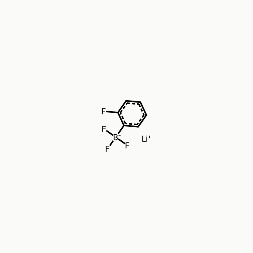 Fc1ccccc1[B-](F)(F)F.[Li+]